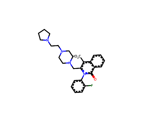 O=C(O)c1c(CN2CCN(CCN3CCCC3)CC2)n(-c2ccccc2F)c(=O)c2ccccc12